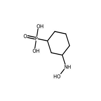 O=P(O)(O)C1CCCC(NO)C1